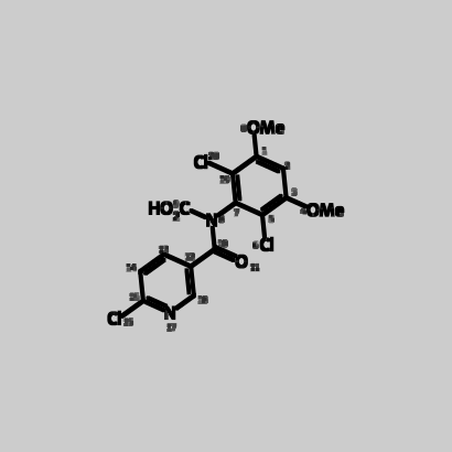 COc1cc(OC)c(Cl)c(N(C(=O)O)C(=O)c2ccc(Cl)nc2)c1Cl